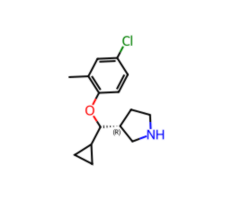 Cc1cc(Cl)ccc1OC(C1CC1)[C@@H]1CCNC1